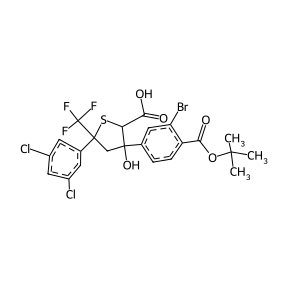 CC(C)(C)OC(=O)c1ccc(C2(O)CC(c3cc(Cl)cc(Cl)c3)(C(F)(F)F)SC2C(=O)O)cc1Br